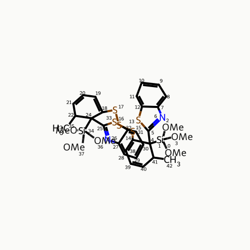 CO[Si](OC)(OC)C1(c2nc3ccccc3s2)C(SSSC2=CC=CC(C)C2(c2nc3ccccc3s2)[Si](OC)(OC)OC)=CC=CC1C